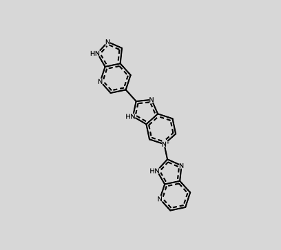 c1cnc2[nH]c(-[n+]3ccc4nc(-c5cnc6[nH]ncc6c5)[nH]c4c3)nc2c1